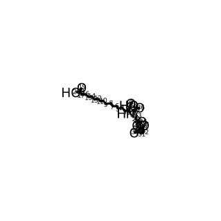 O=C=C(CCCCCCCCCCCCCCCC(=O)O)N[C@@H](CCC(=O)ON1C(=O)C=CC1=O)C(=O)O